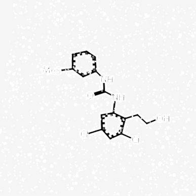 CSc1cccc(NC(=O)Nc2cc(Cl)cc(Cl)c2CCO)c1